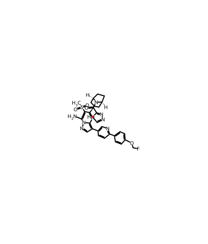 CS(=O)(=O)c1c([C@H]2C[C@H]3CC[C@@H](C2)N3C(=O)c2nnc[nH]2)nc2c(-c3ccc(-c4ccc(OCF)cc4)nc3)cnn2c1N